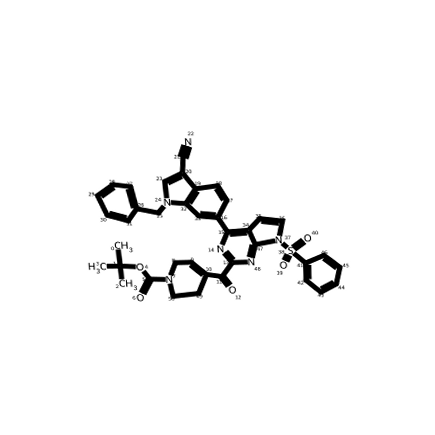 CC(C)(C)OC(=O)N1CC=C(C(=O)c2nc(-c3ccc4c(C#N)cn(Cc5ccccc5)c4c3)c3ccn(S(=O)(=O)c4ccccc4)c3n2)CC1